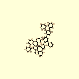 C1=C(c2ccccc2)N=C(c2cccc(C3=C(c4ccccc4)C(c4ccccc4)NC(c4ccccc4)=C3c3ccccc3)c2)NC1c1ccc2c3ccccc3c3ccccc3c2c1